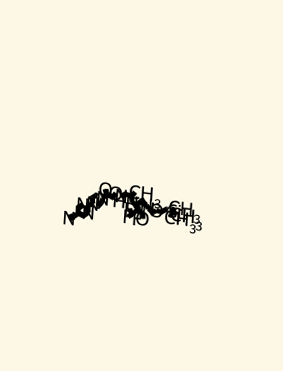 CC(C=NOCC(=O)N1CCN(c2ncc(C#N)cn2)CC1)Nc1cnn(COCC[Si](C)(C)C)c(=O)c1C(F)(F)F